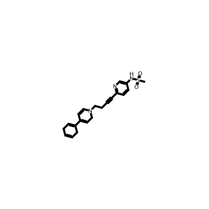 CS(=O)(=O)Nc1ccc(C#CCCN2C=CC(C3=CCC=CC3)=CC2)nc1